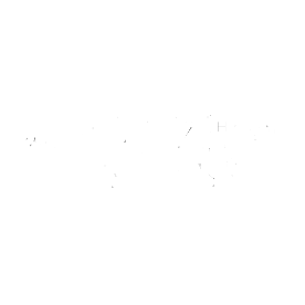 COc1ccc2c3c(ccc2c1)C1=C[C@H](C)[C@](O)(C(=O)COC(C)=O)[C@@]1(C)CC3